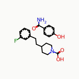 NC(=O)c1ccc(O)cc1.O=C(O)N1CCC(CCc2cccc(F)c2)CC1